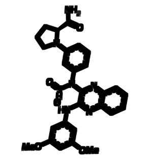 COc1cc(Nc2nc3ccccc3nc2N(c2cccc(N3CCC[C@H]3C(N)=O)c2)[SH](=O)=O)cc(OC)c1